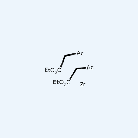 CCOC(=O)CC(C)=O.CCOC(=O)CC(C)=O.[Zr]